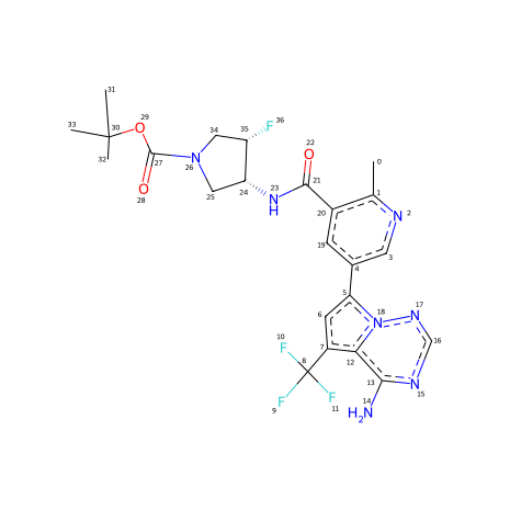 Cc1ncc(-c2cc(C(F)(F)F)c3c(N)ncnn23)cc1C(=O)N[C@@H]1CN(C(=O)OC(C)(C)C)C[C@@H]1F